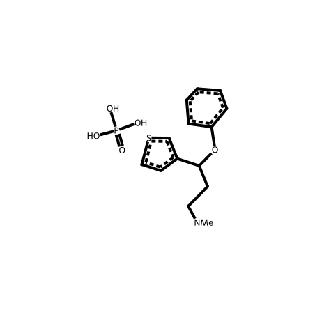 CNCCC(Oc1ccccc1)c1ccsc1.O=P(O)(O)O